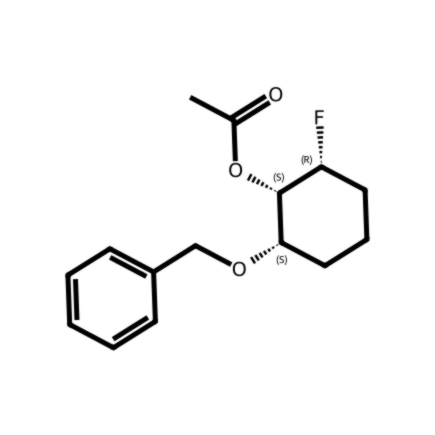 CC(=O)O[C@@H]1[C@H](F)CCC[C@@H]1OCc1ccccc1